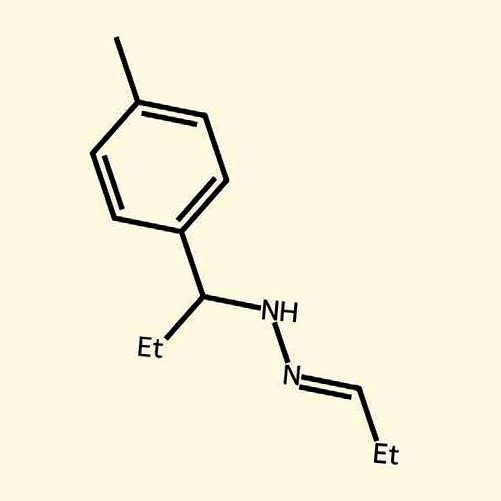 CCC=NNC(CC)c1ccc(C)cc1